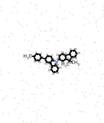 Cc1ccc(-c2ccc3c(c2)c2ccccc2n3-c2ccc3c(c2)C(C)(C)c2ccccc2-3)cc1